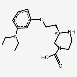 CCN(CC)c1cccc(OCC[C@@H]2CN(C(=O)O)CCN2)c1